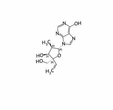 C=C[C@]1(CO)O[C@@H](n2cnc3c(O)ncnc32)[C@H](C)[C@@H]1O